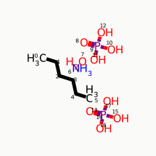 CCCCCC.N.O.O=P(O)(O)O.O=P(O)(O)O